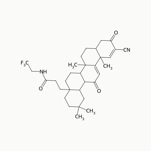 CC1(C)CCC2(CCC(=O)NCC(F)(F)F)CCC3C(C(=O)C=C4C5(C)C=C(C#N)C(=O)CC5CCC43C)C2C1